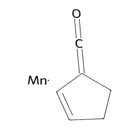 O=C=C1C=CCC1.[Mn]